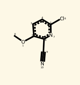 COc1ccc(Cl)nc1C#N